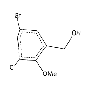 COc1c(Cl)cc(Br)cc1CO